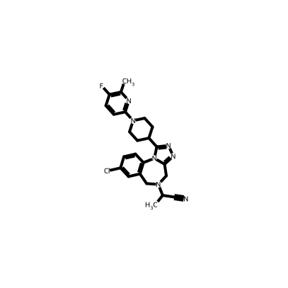 Cc1nc(N2CCC(c3nnc4n3-c3ccc(Cl)cc3CN(C(C)C#N)C4)CC2)ccc1F